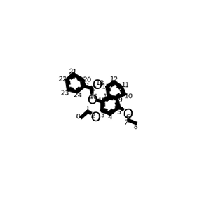 CCOc1cc(OCC)c2ccccc2c1OC(=O)c1ccccc1